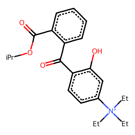 CC[N+](CC)(CC)c1ccc(C(=O)c2ccccc2C(=O)OC(C)C)c(O)c1